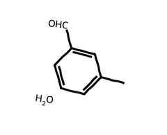 Cc1cccc(C=O)c1.O